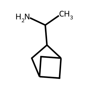 CC(N)C1CC2CC1C2